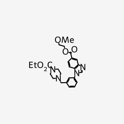 CCOC(=O)N1CCN(Cc2cccc(-n3cnc4cc(C(=O)OCCOC)ccc43)c2)CC1